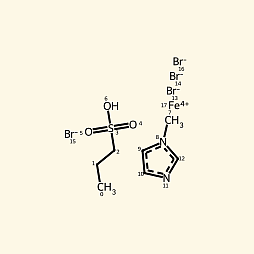 CCCS(=O)(=O)O.Cn1ccnc1.[Br-].[Br-].[Br-].[Br-].[Fe+4]